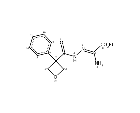 CCOC(=O)/C(N)=N/NC(=O)C1(c2ccccc2)COC1